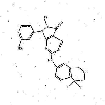 CC(C)n1c(=O)c2cnc(Nc3ccc4c(c3)CNCC4(F)F)nc2n1-c1ccnc(C(C)(C)C)c1